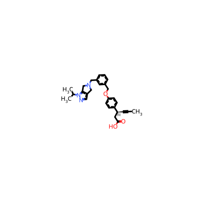 CC#C[C@@H](CC(=O)O)c1ccc(OCc2cccc(CN3Cc4cnn(C(C)C)c4C3)c2)cc1